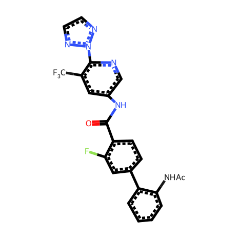 CC(=O)Nc1ccccc1-c1ccc(C(=O)Nc2cnc(-n3nccn3)c(C(F)(F)F)c2)c(F)c1